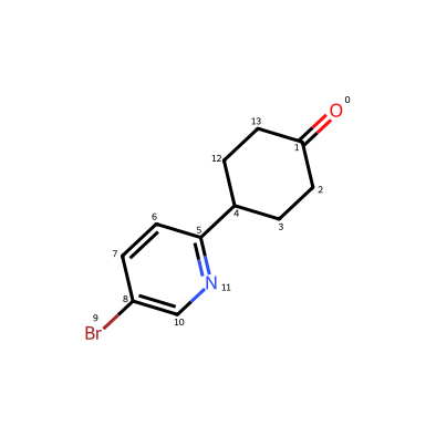 O=C1CCC(c2ccc(Br)cn2)CC1